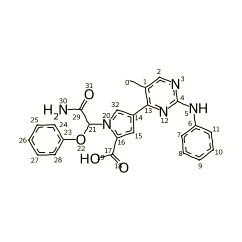 Cc1cnc(Nc2ccccc2)nc1-c1cc(C(=O)O)n(C(Oc2ccccc2)C(N)=O)c1